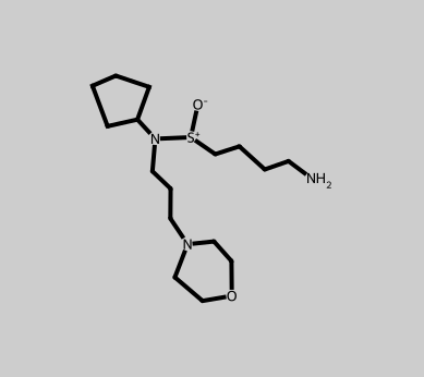 NCCCC[S+]([O-])N(CCCN1CCOCC1)C1CCCC1